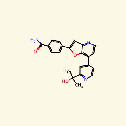 CC(C)(O)c1cc(-c2ccnc3cc(-c4ccc(C(N)=O)cc4)oc23)ccn1